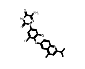 Cc1cc(C(C)C)nc2ccc(Oc3c(Cl)cc(-n4nc(N)c(=O)[nH]c4=O)cc3Cl)cc12